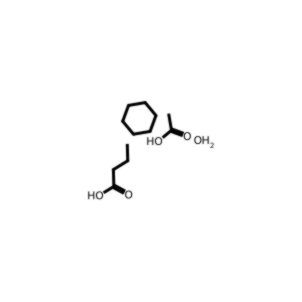 C1CCCCC1.CC(=O)O.CCCC(=O)O.O